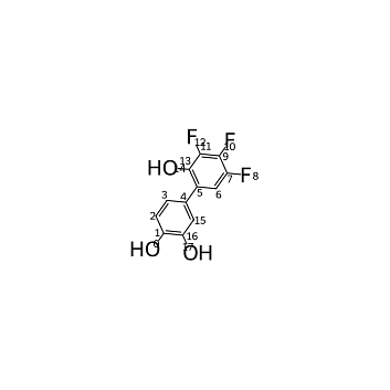 Oc1ccc(-c2cc(F)c(F)c(F)c2O)cc1O